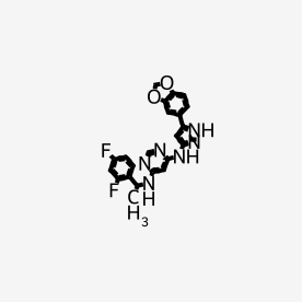 CC(Nc1cc(Nc2cc(-c3ccc4c(c3)OCO4)[nH]n2)ncn1)c1ccc(F)cc1F